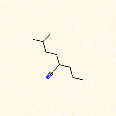 CCCC(C#N)CCC(C)C